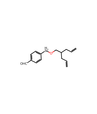 C=CCC(CC=C)CO[SiH2]c1ccc(C=O)cc1